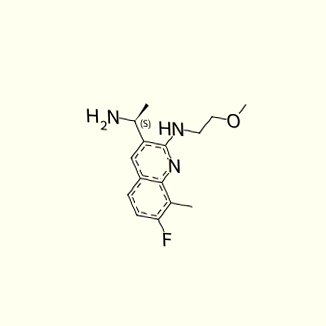 COCCNc1nc2c(C)c(F)ccc2cc1[C@H](C)N